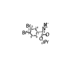 CC(C)OC(=O)C(=[N+]=[N-])c1ccc(Br)c(Br)c1